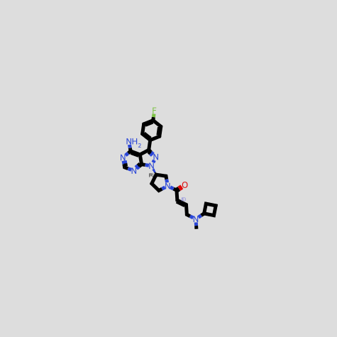 CN(C/C=C/C(=O)N1CC[C@@H](n2nc(-c3ccc(F)cc3)c3c(N)ncnc32)C1)C1CCC1